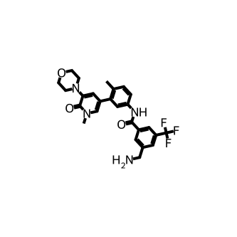 Cc1ccc(NC(=O)c2cc(CN)cc(C(F)(F)F)c2)cc1-c1cc(N2CCOCC2)c(=O)n(C)c1